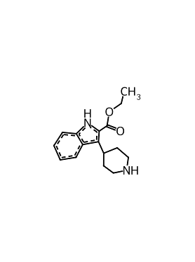 CCOC(=O)c1[nH]c2ccccc2c1C1CCNCC1